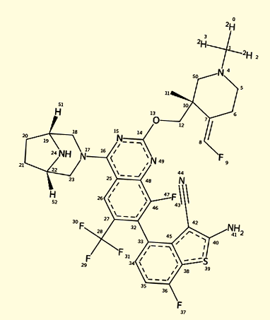 [2H]C([2H])([2H])N1CC/C(=C\F)[C@](C)(COc2nc(N3C[C@H]4CC[C@@H](C3)N4)c3cc(C(F)(F)F)c(-c4ccc(F)c5sc(N)c(C#N)c45)c(F)c3n2)C1